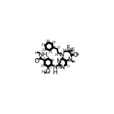 CNC(=O)c1ccc(Nc2ncc3c(n2)N(CCc2ccccc2)CC(F)(F)C(=O)N3C)c(OC)c1